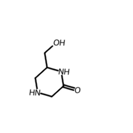 O=C1CNCC(CO)N1